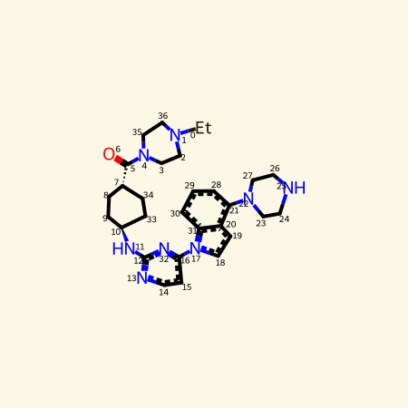 CCN1CCN(C(=O)[C@H]2CC[C@H](Nc3nccc(-n4ccc5c(N6CCNCC6)cccc54)n3)CC2)CC1